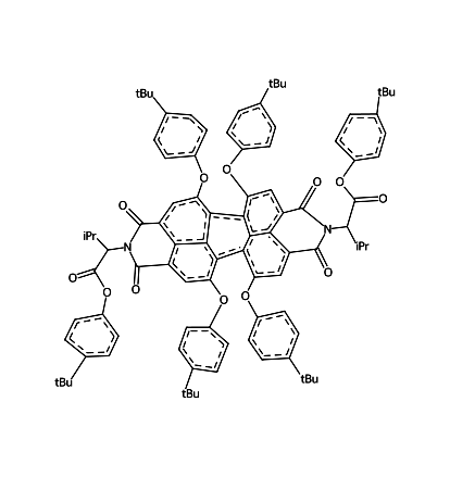 CC(C)C(C(=O)Oc1ccc(C(C)(C)C)cc1)N1C(=O)c2cc(Oc3ccc(C(C)(C)C)cc3)c3c4c(Oc5ccc(C(C)(C)C)cc5)cc5c6c(cc(Oc7ccc(C(C)(C)C)cc7)c(c7c(Oc8ccc(C(C)(C)C)cc8)cc(c2c37)C1=O)c64)C(=O)N(C(C(=O)Oc1ccc(C(C)(C)C)cc1)C(C)C)C5=O